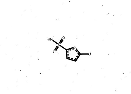 [NH]S(=O)(=O)c1ccc(Cl)s1